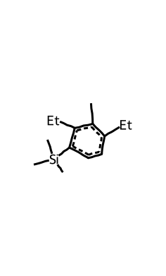 CCc1ccc([Si](C)(C)C)c(CC)c1C